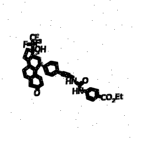 CCOC(=O)c1ccc(NC(=O)NCC#Cc2ccc([C@H]3C[C@@]4(C)C(CC[C@@]4(O)C(F)(F)C(F)(F)F)C4CCC5=CC(=O)CCC5=C43)cc2)cc1